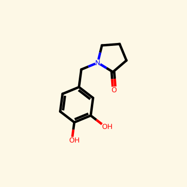 O=C1CCCN1Cc1ccc(O)c(O)c1